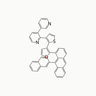 [c]1c(-c2c3ccccc3cc3cccc(-c4occc4-c4sccc4-c4ncccc4-c4cccnc4)c23)ccc2ccccc12